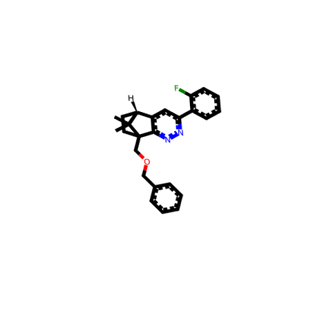 CC1(C)[C@@H]2CCC1(COCc1ccccc1)c1nnc(-c3ccccc3F)cc12